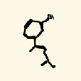 CC(CN(C)C)c1cccc(O)c1